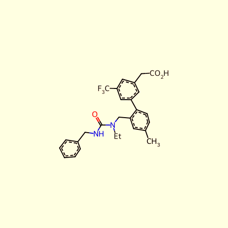 CCN(Cc1cc(C)ccc1-c1cc(CC(=O)O)cc(C(F)(F)F)c1)C(=O)NCc1ccccc1